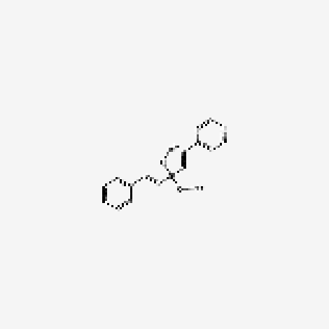 CCCO[Si](C=Cc1ccccc1)(C=Cc1ccccc1)OCCC